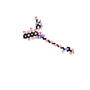 COCCN1[C@@H](C)O[C@@H]2[C@H](C)O[C@@H](O[C@H]3C[C@](O)(C(=O)NNC(=O)CCOCCOCCOCCOCCC(=O)N4CCC(C(=O)O)C4)Cc4c(O)c5c(c(O)c43)C(=O)c3c(OC)cccc3C5=O)C[C@@H]21